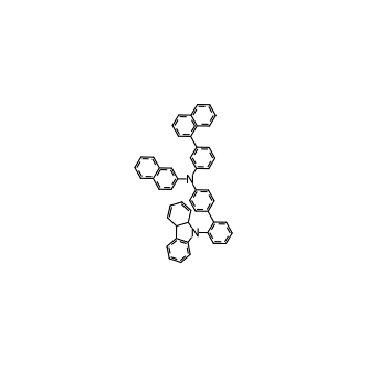 C1=CC2c3ccccc3N(c3ccccc3-c3ccc(N(c4cccc(-c5cccc6ccccc56)c4)c4ccc5ccccc5c4)cc3)C2C=C1